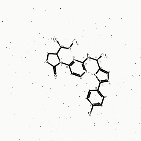 CO[C@H](C)C1COC(=O)N1c1ccnc(N[C@@H](C)c2cnc(-c3ccc(Cl)cc3)s2)n1